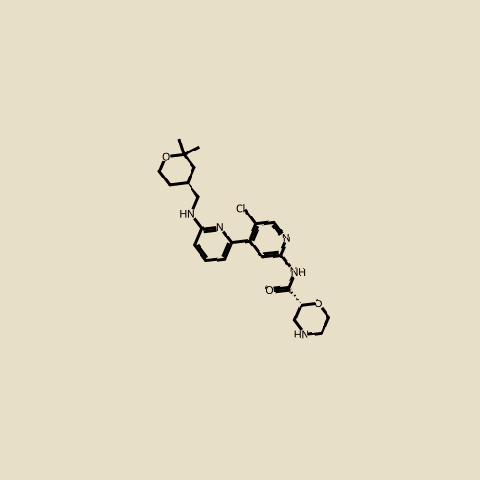 CC1(C)C[C@@H](CNc2cccc(-c3cc(NC(=O)[C@H]4CNCCO4)ncc3Cl)n2)CCO1